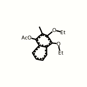 CCOc1c(C)c(OC(C)=O)c2ccccc2c1OCC